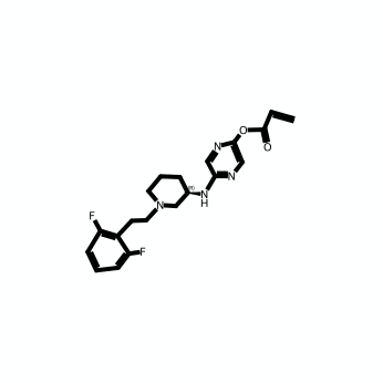 C=CC(=O)Oc1cnc(N[C@@H]2CCCN(CCc3c(F)cccc3F)C2)cn1